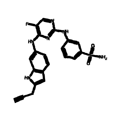 C#CCc1cc2ccc(Nc3nc(Nc4cccc(S(N)(=O)=O)c4)ncc3F)cc2[nH]1